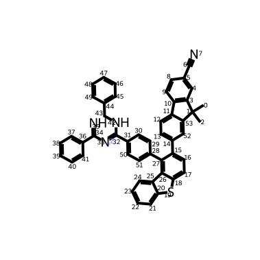 CC1(C)c2cc(C#N)ccc2-c2ccc(-c3ccc4sc5ccccc5c4c3-c3ccc(/C(=N/C(=N)c4ccccc4)NCc4ccccc4)cc3)cc21